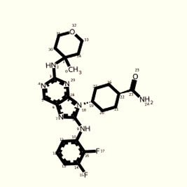 CC1(Nc2ncc3nc(Nc4cccc(F)c4F)n([C@H]4CC[C@H](C(N)=O)CC4)c3n2)CCOCC1